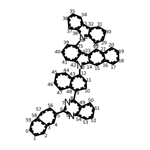 c1ccc2cc(-c3nc(-c4ccc(-n5c6cc7ccccc7cc6c6c(-n7c8ccccc8c8ccccc87)cccc65)c5ccccc45)c4ccccc4n3)ccc2c1